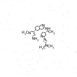 C=N/C=C(\SCN)c1ccc2cnc(NC(=C)c3ccnc(N4CC(N(C)C)C4)c3)cc2c1